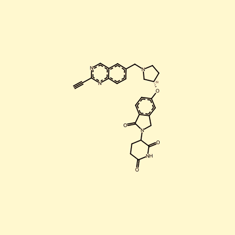 C#Cc1ncc2cc(CN3CC[C@H](Oc4ccc5c(c4)CN(C4CCC(=O)NC4=O)C5=O)C3)ccc2n1